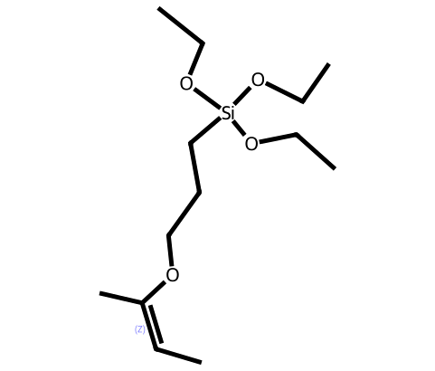 C/C=C(/C)OCCC[Si](OCC)(OCC)OCC